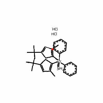 CC1=[C]([Zr](=[SiH2])([C]2=C(C)C=C(C(C)(C)C)C2)([c]2ccccc2)[c]2ccccc2)CC(C(C)(C)C)=C1.Cl.Cl